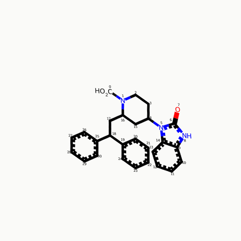 O=C(O)N1CCC(n2c(=O)[nH]c3ccccc32)CC1CC(c1ccccc1)c1ccccc1